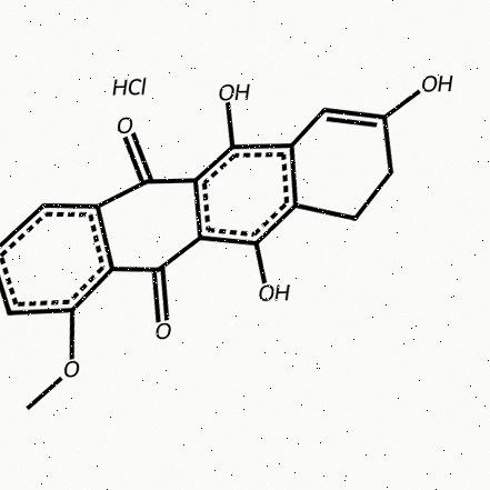 COc1cccc2c1C(=O)c1c(O)c3c(c(O)c1C2=O)C=C(O)CC3.Cl